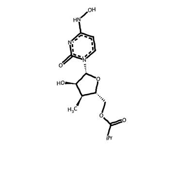 CC(C)C(=O)OC[C@H]1O[C@@H](n2ccc(NO)nc2=O)[C@H](O)[C@@H]1C